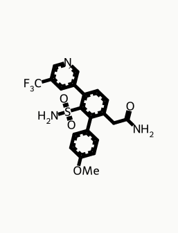 COc1ccc(-c2c(CC(N)=O)ccc(-c3cncc(C(F)(F)F)c3)c2S(N)(=O)=O)cc1